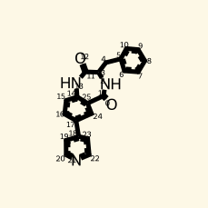 O=C1NC(Cc2ccccc2)C(=O)Nc2ccc(-c3ccncc3)cc21